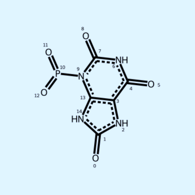 O=c1[nH]c2c(=O)[nH]c(=O)n(P(=O)=O)c2[nH]1